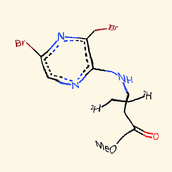 [2H]C([2H])(Nc1ncc(Br)nc1Br)C(=O)OC